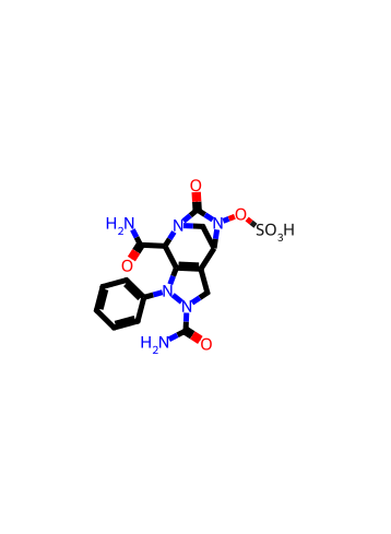 NC(=O)C1C2=C(CN(C(N)=O)N2c2ccccc2)C2CN1C(=O)N2OS(=O)(=O)O